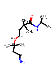 CC(=O)C(C)NC(=O)C(C)(C)CCOC(C)(C)CCN